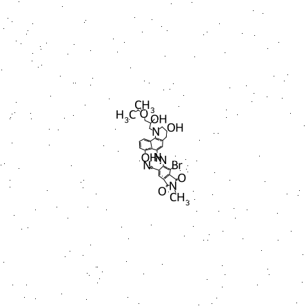 CCN1C(=O)c2cc(C#N)c(/N=N/c3cc4c(c5cccc(O)c35)N(CC(O)COC(C)C)CC(O)C4)c(Br)c2C1=O